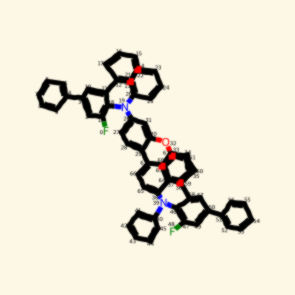 Fc1cc(-c2ccccc2)cc(-c2ccccc2)c1N(c1ccccc1)c1ccc2c(c1)Oc1cccc3c(N(c4ccccc4)c4c(F)cc(-c5ccccc5)cc4-c4ccccc4)ccc-2c13